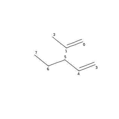 C=CC.C=CCCC